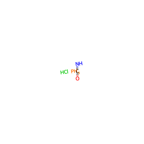 Cl.N=C=O.P